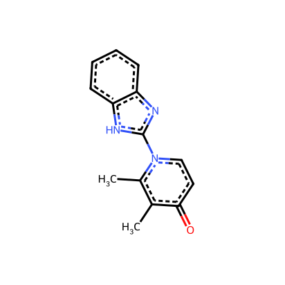 Cc1c(C)n(-c2nc3ccccc3[nH]2)ccc1=O